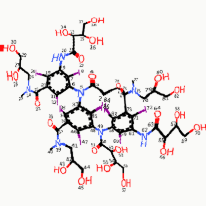 CCCC(=O)N(c1c(I)c(NC(=O)C(O)C(O)CO)c(I)c(C(=O)N(C)CC(O)CO)c1I)c1c(I)c(C(=O)N(C)CC(O)CO)c(I)c(N(C(=O)C(O)C(O)CO)c2c(I)c(NC(=O)C(O)C(O)CO)c(I)c(C(=O)N(C)CC(O)CO)c2I)c1I